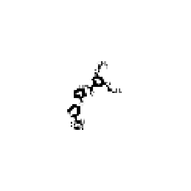 CCOc1cc(OCC)cc(C(=O)Nc2cccc(Oc3ccnc(-c4nnco4)c3)c2)c1